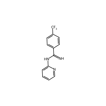 N=C(Nc1ccccn1)c1ccc(C(F)(F)F)cc1